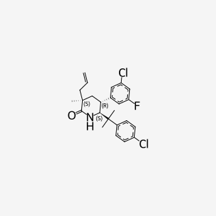 C=CC[C@@]1(C)C[C@H](c2cc(F)cc(Cl)c2)[C@@H](C(C)(C)c2ccc(Cl)cc2)NC1=O